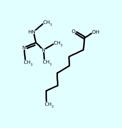 CCCCCCCC(=O)O.CN=C(NC)N(C)C